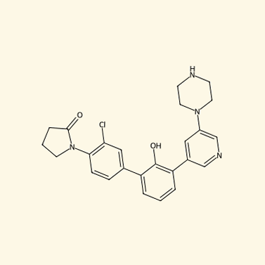 O=C1CCCN1c1ccc(-c2cccc(-c3cncc(N4CCNCC4)c3)c2O)cc1Cl